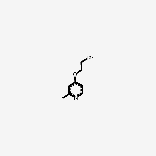 Cc1cc(OCCC(C)C)ccn1